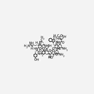 CC(=O)N[C@@H](CS)C(=O)N[C@@H](CC(N)=O)C(=O)N[C@@H](Cc1c[nH]c2ccccc12)C(=O)N[C@@H](CC(N)=O)C(=O)N[C@@H](CO)C(=O)N[C@@H](Cc1ccccc1)C(=O)N[C@H](CS)C(=O)N[C@@H](CC(C)C)C(=O)N[C@@H](CCCNC(=N)N)C(=O)N[C@@H](Cc1ccc(O)cc1)C(N)=O